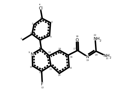 Cc1cc(Cl)ccc1-c1ncc(F)c2ccc(C(=O)N=C(N)N)cc12